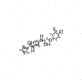 OC(COc1ccc(Cl)c(F)c1)NC12CC(NC(O)c3cscn3)(C1)C2